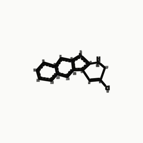 ClC1=Cc2c(sc3cc4ccccc4cc23)NC1